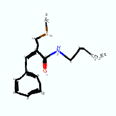 CCOC(=O)CCNC(=O)/C(=C\c1ccccc1)CSC(C)=O